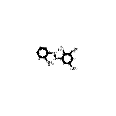 CC(C)(C)c1cc(/N=N/c2ccccc2N)c(O)c(C(C)(C)C)c1